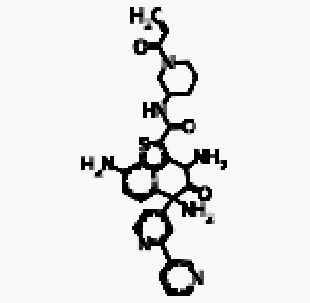 C=CC(=O)N1CCCC(NC(=O)c2sc3c(N)ccc4c3c2C(N)C(=O)C4(N)c2ccnc(-c3cccnc3)c2)C1